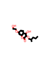 CCCC(C)COc1c(O)c2ccc(OCCO)cc2oc1=O